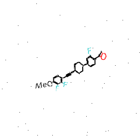 COc1ccc(C#CC2CCC(c3ccc(C4CO4)c(F)c3)CC2)c(F)c1F